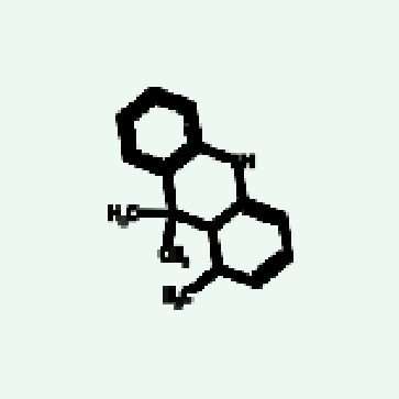 CC1C=CC=C2Nc3ccccc3C(C)(C)C21